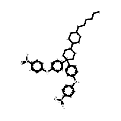 CCCCCCC1CCC(C2CCC(c3ccc(Oc4ccc([N+](=O)[O-])cc4)cc3)(c3ccc(Oc4ccc([N+](=O)[O-])cc4)cc3)CC2)CC1